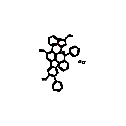 CC1C=C(C(C)(C)C)C=[C]1[Zr+2](=[C](c1ccccc1)c1ccccc1)[c]1c2c(cc(C(C)(C)C)c1-c1ccccc1)-c1cc(C(C)(C)C)c(-c3ccccc3)cc1C2.[Cl-].[Cl-]